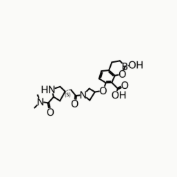 CN(C)C(=O)C1C[C@@H](CC(=O)N2CC(Oc3ccc4c(c3C(=O)O)OB(O)CC4)C2)CN1